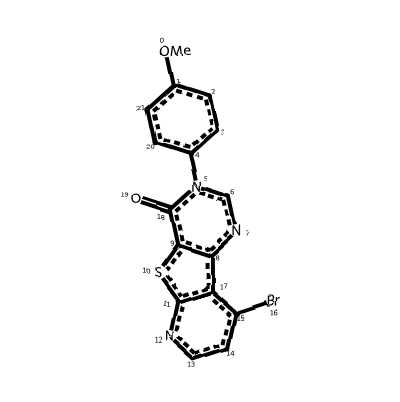 COc1ccc(-n2cnc3c(sc4nccc(Br)c43)c2=O)cc1